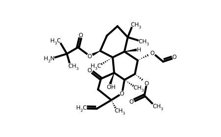 C=C[C@@]1(C)CC(=O)[C@]2(O)[C@@]3(C)[C@@H](OC(=O)C(C)(C)N)CCC(C)(C)[C@@H]3[C@H](OC=O)[C@H](OC(C)=O)[C@@]2(C)O1